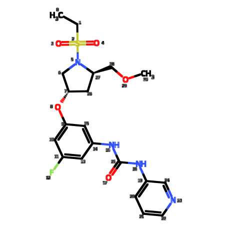 CCS(=O)(=O)N1C[C@@H](Oc2cc(F)cc(NC(=O)Nc3cccnc3)c2)C[C@@H]1COC